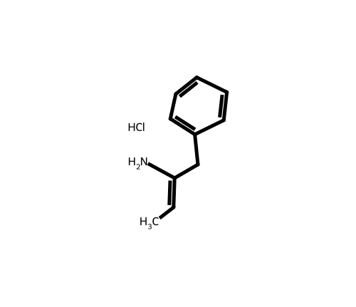 CC=C(N)Cc1ccccc1.Cl